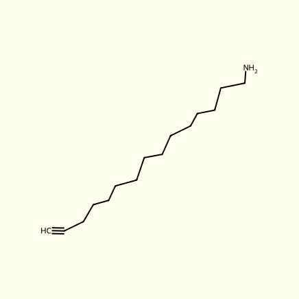 C#CCCCCCCCCCCCCCN